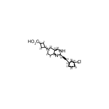 O=C(O)C1CC(N2CCC3=NC(C#Cc4cccc(Cl)c4)NC=C3C2)C1